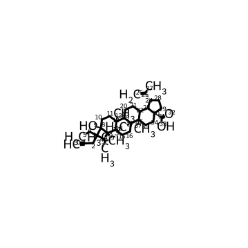 C#CCC(CC)(CC)[C@]1(O)CC[C@@]2(C)C(CC[C@]3(C)C2CCC2C4[C@H](C(=C)C)CC[C@]4(C(=O)O)CC[C@]23C)C1(C)C